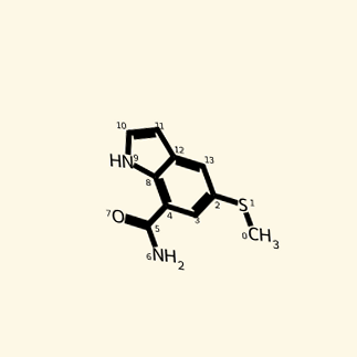 CSc1cc(C(N)=O)c2[nH]ccc2c1